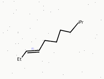 CC/C=C/CCCCC(C)C